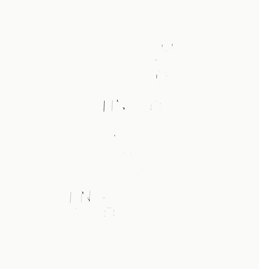 CCC1(CC)c2cc(C(N)=O)ccc2C[C@H](OC)[C@H]1NCCC(C(=O)OC)C(C)C